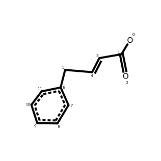 [O]C(=O)C=CCc1ccccc1